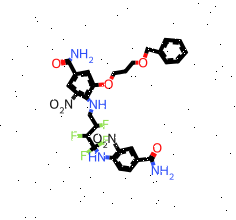 NC(=O)c1ccc(NC(F)(F)C(F)C(F)CNc2c(OCCCOCc3ccccc3)cc(C(N)=O)cc2[N+](=O)[O-])c([N+](=O)[O-])c1